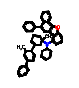 CC1C=C(c2ccccc2)C=CC1C1=CC=CC(C)(N(c2cccc3oc4c5ccccc5c(-c5ccccc5)cc4c23)C2C=CC=CC2)C1